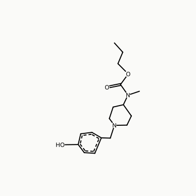 CCCOC(=O)N(C)C1CCN(Cc2ccc(O)cc2)CC1